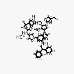 CCc1cnn([C@H]2C[C@@H](n3cnc4c(NCC(c5ccccc5)c5ccccc5)nc(N5CCC(NC(=O)NC(C)c6c[nH]cn6)C5)nc43)[C@H](O)[C@@H]2O)n1.Cl